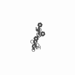 O=C1CCC(N2Cc3cc(OC[C@@H]4CCCCN4C(=O)c4cnc(-c5ccccc5)o4)ccc3C2=O)C(=O)N1